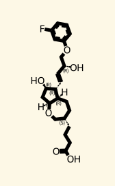 O=C(O)CCC[C@H]1CC[C@@H]2[C@@H](C=C[C@@H](O)COc3cccc(F)c3)[C@H](O)C[C@@H]2OC1